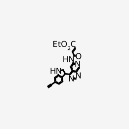 C#Cc1ccc2c(c1)NCC2c1ncnc2cnc(NC(=O)C=CC(=O)OCC)cc12